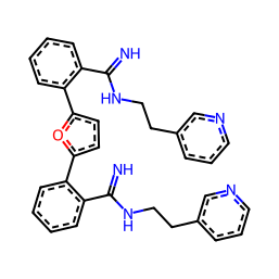 N=C(NCCc1cccnc1)c1ccccc1-c1ccc(-c2ccccc2C(=N)NCCc2cccnc2)o1